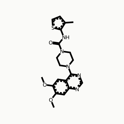 COc1cc2ncnc(N3CCN(C(=O)Nc4sccc4C)CC3)c2cc1OC